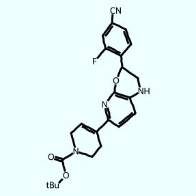 CC(C)(C)OC(=O)N1CC=C(c2ccc3c(n2)OC(c2ccc(C#N)cc2F)CN3)CC1